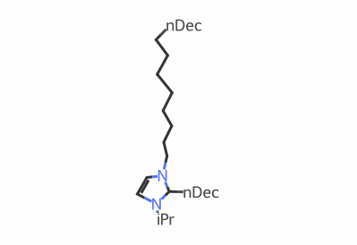 CCCCCCCCCCCCCCCCCCN1C=CN(C(C)C)C1CCCCCCCCCC